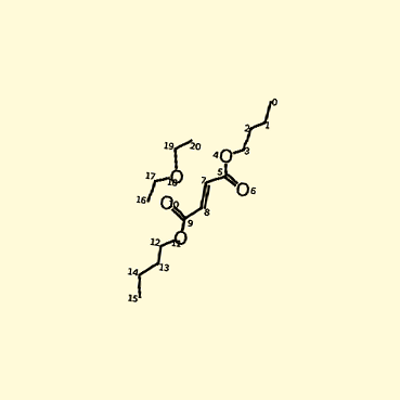 CCCCOC(=O)C=CC(=O)OCCCC.CCOCC